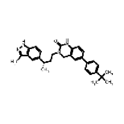 Cc1n[nH]c2ccc([C@@H](C)CCN3Cc4cc(-c5ccc(C(C)(C)C)cc5)ccc4NC3=O)cc12